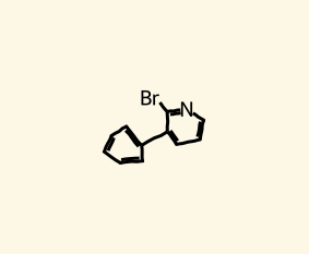 Brc1ncccc1-c1ccccc1